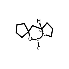 ClP1OC2(CCCC2)C[C@@H]2CCCN21